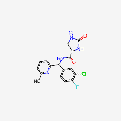 N#Cc1cccc([C@@H](NC(=O)[C@@H]2CNC(=O)N2)c2ccc(F)c(Cl)c2)n1